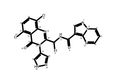 CCC(NC(=O)c1cnn2cccnc12)c1nc2c(Cl)ccc(Cl)c2c(=O)n1-c1cn[nH]c1